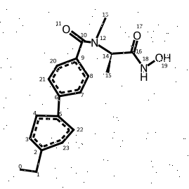 CCc1ccc(-c2ccc(C(=O)N(C)[C@H](C)C(=O)NO)cc2)cc1